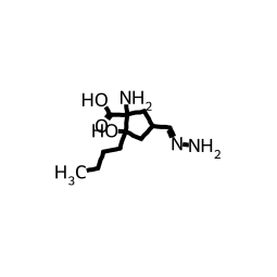 CCCCC1(O)CC(C=NN)CC1(N)C(=O)O